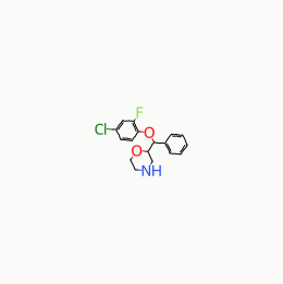 Fc1cc(Cl)ccc1OC(c1ccccc1)C1CNCCO1